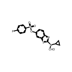 O=CN(c1nc2ccc(OS(=O)(=O)c3ccc(F)cc3)cc2s1)C1CC1